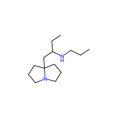 CCCNC(CC)CC12CCCN1CCC2